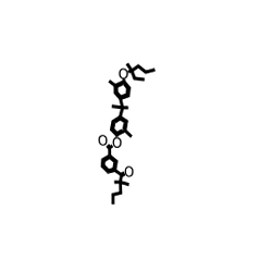 CCCC(C)(CC)Oc1ccc(C(C)(C)c2ccc(OC(=O)c3cccc(C(=O)C(C)(C)CCC)c3)c(C)c2)cc1C